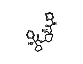 C[N+]1(CC(=O)Nc2cccnn2)CCCC(OC(=O)[C@](O)(c2ccccc2)C2CCCC2)C1